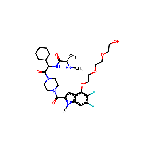 CN[C@@H](C)C(=O)NC(C(=O)N1CCN(C(=O)c2cc3c(OCCOCCOCCO)c(F)c(F)cc3n2C)CC1)C1CCCCC1